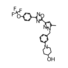 Cc1cc(-c2nc(-c3ccc(OC(F)(F)F)cc3)no2)nn1Cc1cccc(N2CCC(O)CC2)c1